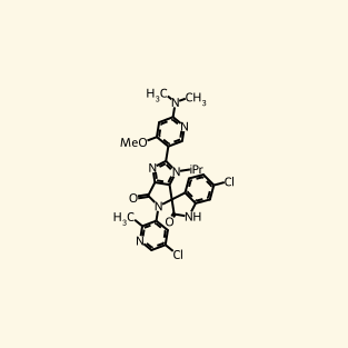 COc1cc(N(C)C)ncc1-c1nc2c(n1C(C)C)C1(C(=O)Nc3cc(Cl)ccc31)N(c1cc(Cl)cnc1C)C2=O